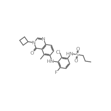 CCCS(=O)(=O)Nc1ccc(F)c(Nc2ccc3ncn(C4CCC4)c(=O)c3c2C)c1Cl